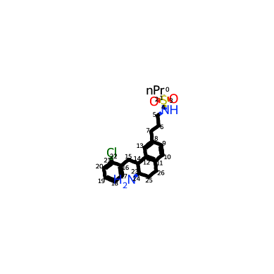 CCCS(=O)(=O)NCCCc1ccc2c(c1)C(Cc1ccccc1Cl)C(N)CC2